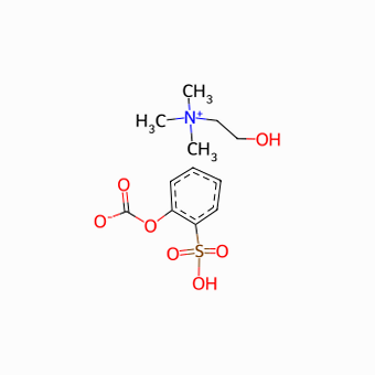 C[N+](C)(C)CCO.O=C([O-])Oc1ccccc1S(=O)(=O)O